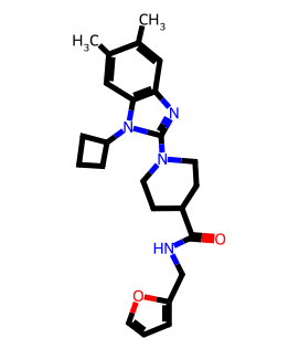 Cc1cc2nc(N3CCC(C(=O)NCc4ccco4)CC3)n(C3CCC3)c2cc1C